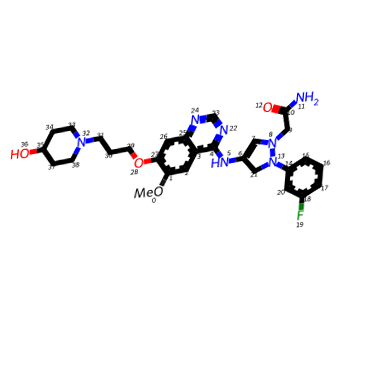 COc1cc2c(NC3=CN(CC(N)=O)N(c4cccc(F)c4)C3)ncnc2cc1OCCCN1CCC(O)CC1